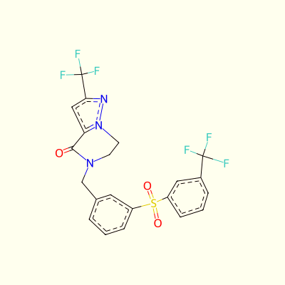 O=C1c2cc(C(F)(F)F)nn2CCN1Cc1cccc(S(=O)(=O)c2cccc(C(F)(F)F)c2)c1